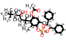 CC(=O)Oc1cc(C)c(OP(=O)(OCc2ccccc2)OCc2ccccc2)c(C)c1C(C)(C)CC(O)[Si](C)(C)C(C)(C)C